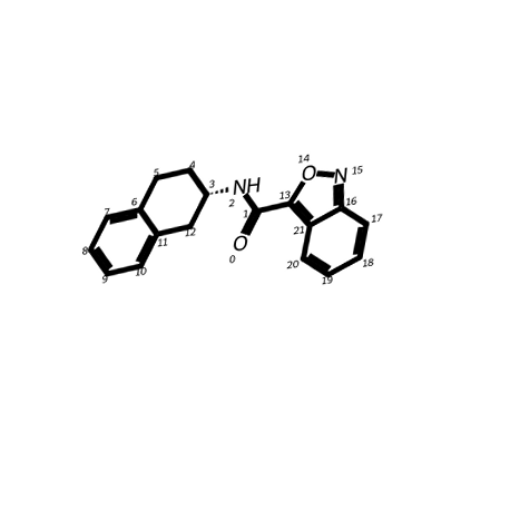 O=C(N[C@H]1CCc2ccccc2C1)c1onc2ccccc12